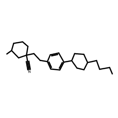 CCCCC1CCC(c2ccc(CCC3(C#N)CCCC(C)C3)cc2)CC1